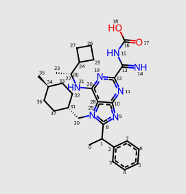 CC(c1ccccc1)c1nc2nc(C(=N)NC(=O)O)nc(N[C@H](C)C3CCC3)c2n1C[C@H]1CC[C@H](C)CC1